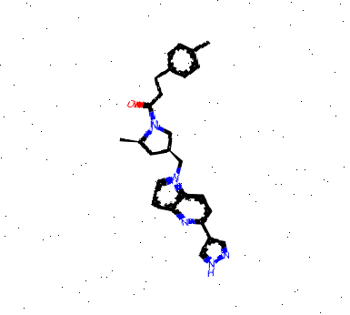 Cc1ccc(CCC(=O)N2C[C@@H](Cn3ccc4nc(-c5cn[nH]c5)ccc43)C[C@H]2C)cc1